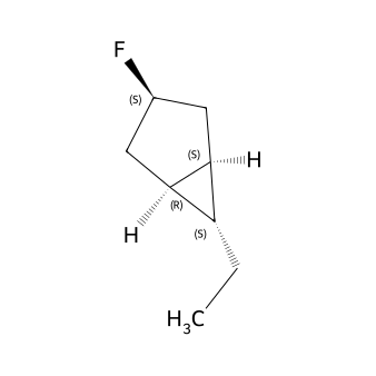 CC[C@@H]1[C@H]2C[C@@H](F)C[C@@H]12